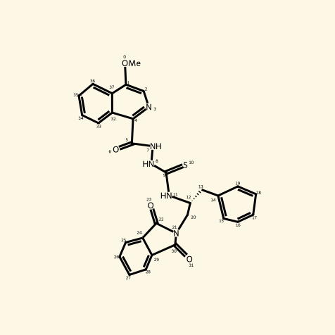 COc1cnc(C(=O)NNC(=S)N[C@H](Cc2ccccc2)CN2C(=O)c3ccccc3C2=O)c2cc[c]cc12